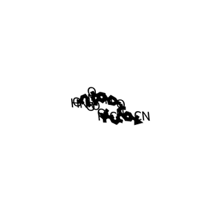 Cc1ccc(-c2c(C)noc2C)cc1N(CC(C)OC1CCN(c2ccc3c(c2)C(=O)N(C2CCC(=O)NC2=O)C3=O)CC1)c1ccc(C2(C#N)CC2)cc1